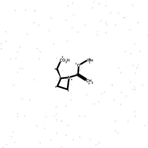 C=C(OC(C)(C)C)N1CC[C@H]1CC(=O)O